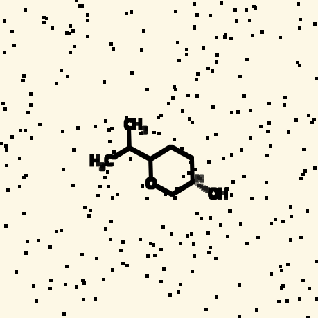 CC(C)C1CC[C@H](O)CO1